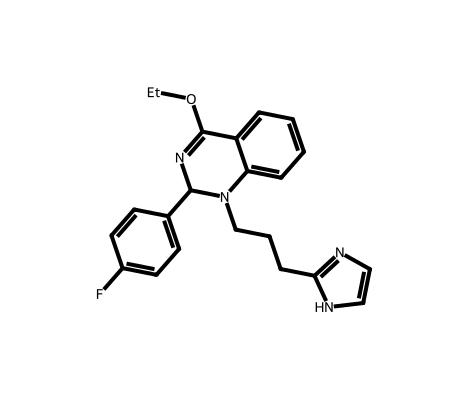 CCOC1=NC(c2ccc(F)cc2)N(CCCc2ncc[nH]2)c2ccccc21